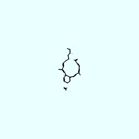 COC(=O)N[C@H]1C=C[C@@H]2/C=C(C)/C=C/[C@@H](C)[C@H]([C@H](C)[C@H](O)[C@@H](C)NC(C)=O)OC(=O)/C=C/C=C(C)\C=C\[C@]2(C)C1